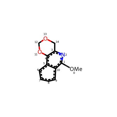 COc1nc2c(c3ccccc13)OCOC2